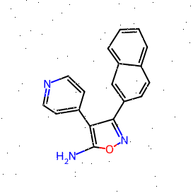 Nc1onc(-c2ccc3ccccc3c2)c1-c1ccncc1